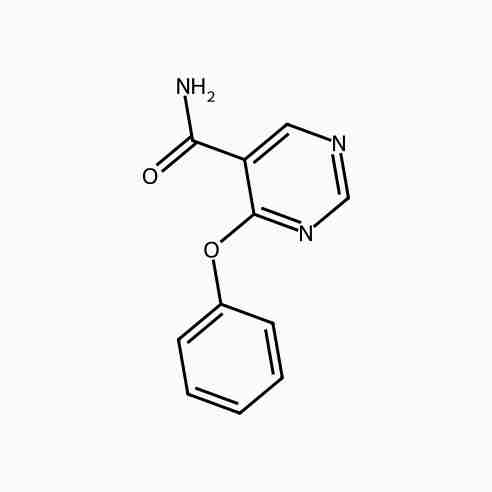 NC(=O)c1cncnc1Oc1ccccc1